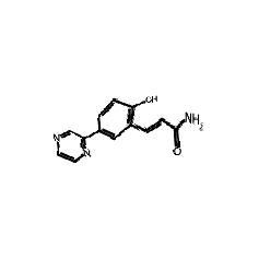 NC(=O)/C=C/c1cc(-c2cnccn2)ccc1O